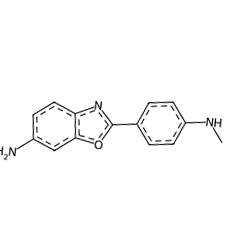 CNc1ccc(-c2nc3ccc(N)cc3o2)cc1